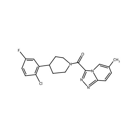 Cc1ccc2nnc(C(=O)N3CCC(c4cc(F)ccc4Cl)CC3)n2c1